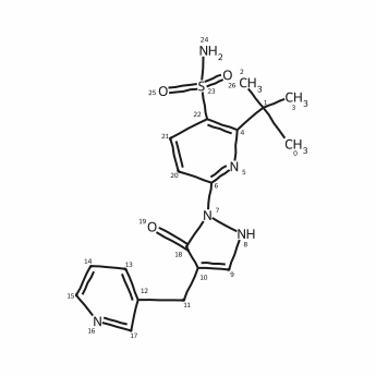 CC(C)(C)c1nc(-n2[nH]cc(Cc3cccnc3)c2=O)ccc1S(N)(=O)=O